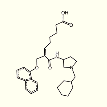 O=C(O)CCCCC=C(COc1cccc2ccccc12)C(=O)NC1CCN(CC2CCCCC2)C1